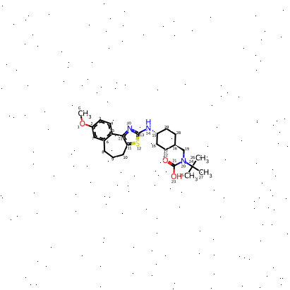 COc1ccc2c(c1)CCCc1sc(N[C@H]3CC[C@H](CN(C(=O)O)C(C)(C)C)CC3)nc1-2